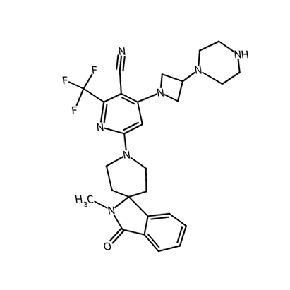 CN1C(=O)c2ccccc2C12CCN(c1cc(N3CC(N4CCNCC4)C3)c(C#N)c(C(F)(F)F)n1)CC2